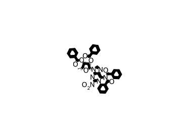 C[C@H]1O[C@@H](n2cnc3c(N(C(=O)c4ccccc4)C(=O)c4ccccc4)nc([N+](=O)[O-])nc32)[C@@H](OC(=O)c2ccccc2)[C@@H]1OC(=O)c1ccccc1